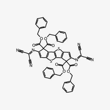 N#CC(C#N)=NC1=Cc2sc3c4c(sc3c2C1(C(=O)OCc1ccccc1)C(=O)OCc1ccccc1)C=C(N=C(C#N)C#N)C4(C(=O)OCc1ccccc1)C(=O)OCc1ccccc1